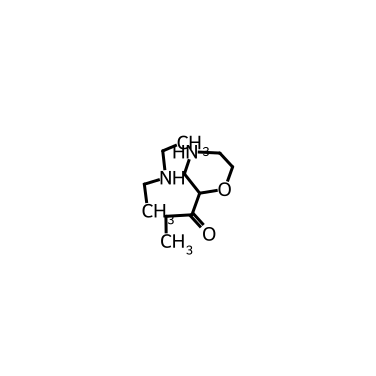 CCC(=O)C1CNCCO1.CCNCC